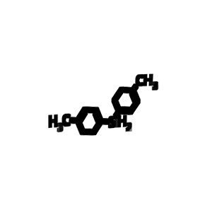 CC1=CC=C([SiH2]C2=CC=C(C)CC2)CC1